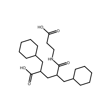 O=C(O)CCNC(=O)C(CC1CCCCC1)CC(CC1CCCCC1)C(=O)O